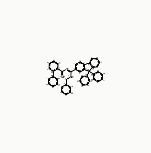 N=C(/N=C(\NCc1ccccc1)c1ccc2c(c1)C(c1ccccc1)(c1ccccc1)c1ccccc1-2)c1ccccc1-c1ccccc1